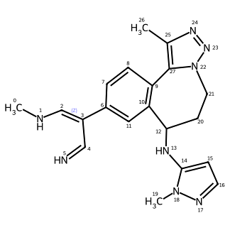 CN/C=C(\C=N)c1ccc2c(c1)C(Nc1ccnn1C)CCn1nnc(C)c1-2